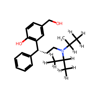 [2H]C([2H])([2H])C([2H])(C)N(CC[C@H](c1ccccc1)c1cc(CO)ccc1O)C([2H])(C([2H])([2H])[2H])C([2H])([2H])[2H]